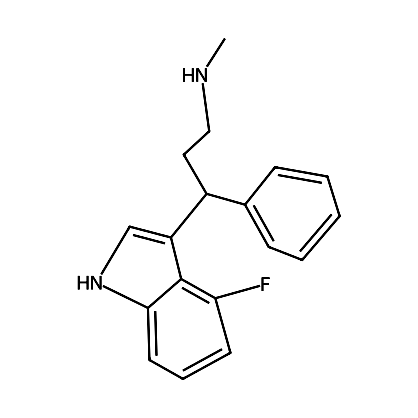 CNCCC(c1ccccc1)c1c[nH]c2cccc(F)c12